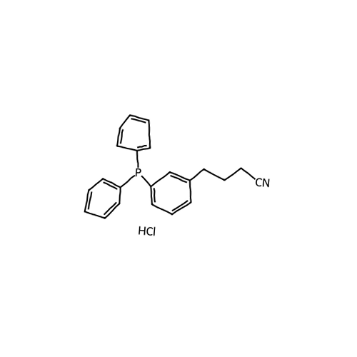 Cl.N#CCCCc1cccc(P(c2ccccc2)c2ccccc2)c1